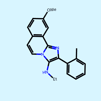 CCNc1c(-c2ccccc2C)nc2c3cc(OC)ccc3ccn12